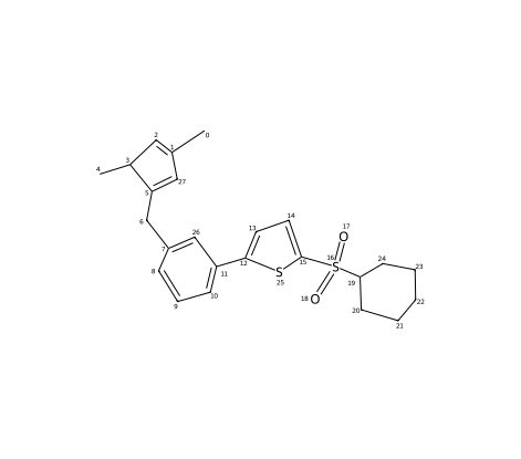 CC1=CC(C)C(Cc2cccc(-c3ccc(S(=O)(=O)C4CCCCC4)s3)c2)=C1